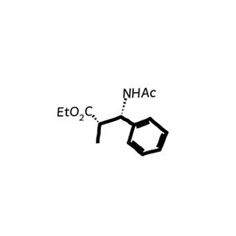 CCOC(=O)[C@@H](C)[C@H](NC(C)=O)c1ccccc1